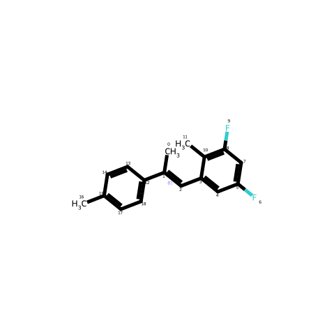 C/C(=C\c1cc(F)cc(F)c1C)c1ccc(C)cc1